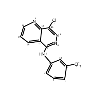 FC(F)(F)c1cccc(Nc2nnc(Cl)c3ncccc23)c1